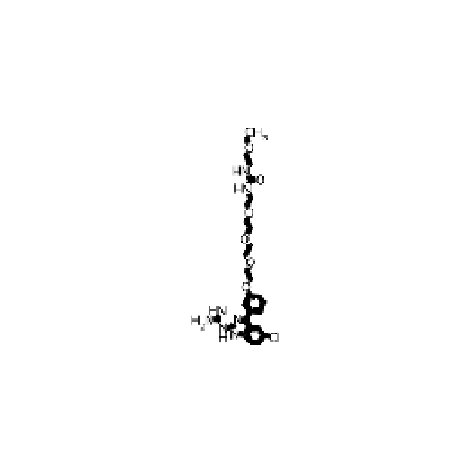 CCOCCNC(=O)NCCOCCOCCOCCOc1cccc(-c2nc(NC(=N)N)nc3ccc(Cl)cc23)c1